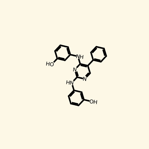 Oc1cccc(Nc2ncc(-c3ccccc3)c(Nc3cccc(O)c3)n2)c1